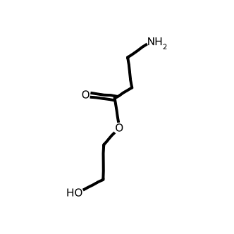 NCCC(=O)OCCO